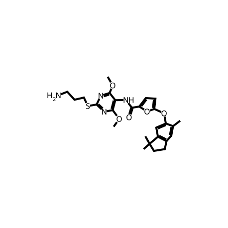 COc1nc(SCCCN)nc(OC)c1NC(=O)c1ccc(Oc2cc3c(cc2C)CCC3(C)C)o1